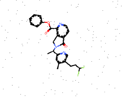 Cc1cc(C(C)N2Cc3c(ccnc3C(=O)Oc3ccccc3)C2=O)ncc1CCC(F)F